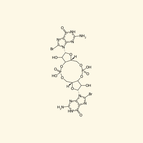 Nc1nc2c(nc(Br)n2[C@@H]2O[C@@H]3COP(=O)(O)OC4C(O)[C@H](n5c(Br)nc6c(=O)[nH]c(N)nc65)O[C@@H]4COP(=O)(O)OC3C2O)c(=O)[nH]1